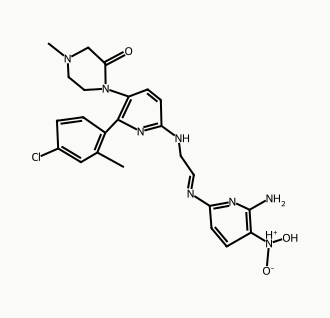 Cc1cc(Cl)ccc1-c1nc(NC/C=N/c2ccc([NH+]([O-])O)c(N)n2)ccc1N1CCN(C)CC1=O